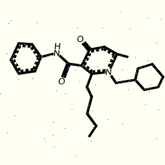 CCCCCc1c(C(=O)Nc2ccccc2)c(=O)cc(C)n1CC1CCCCC1